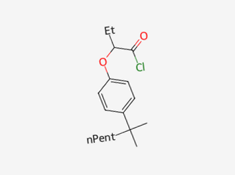 CCCCCC(C)(C)c1ccc(OC(CC)C(=O)Cl)cc1